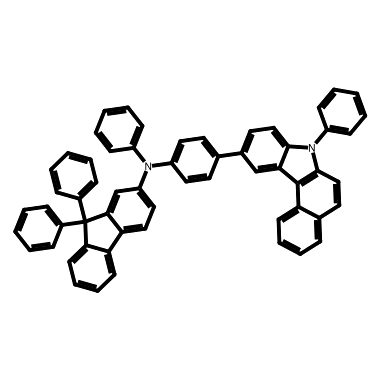 c1ccc(N(c2ccc(-c3ccc4c(c3)c3c5ccccc5ccc3n4-c3ccccc3)cc2)c2ccc3c(c2)C(c2ccccc2)(c2ccccc2)c2ccccc2-3)cc1